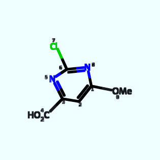 COc1cc(C(=O)O)nc(Cl)n1